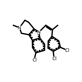 C/C(=C/n1c2c(c3cc(Cl)ccc31)CN(C)CC2)c1ccc(Cl)c(Cl)c1